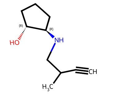 C#CC(C)CN[C@@H]1CCC[C@H]1O